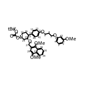 COc1cccc(OCCCOc2ccc(C3CCN(OC(=O)OC(C)(C)C)CC3OCc3cc(OC)c4ccccc4c3OC)cc2)c1